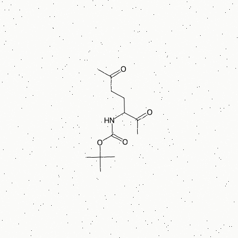 CC(=O)CCC(NC(=O)OC(C)(C)C)C(C)=O